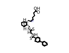 O=C(O)CCC/C=C\C[C@@H]1[C@H](CNC(=S)CNC(=S)c2ccc(-c3ccccc3)cc2)[C@@H]2CC[C@H]1O2